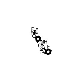 CC(C)OC(=NC(=O)Nc1ccc(OC(F)(F)C(F)F)cc1)c1ccccc1F